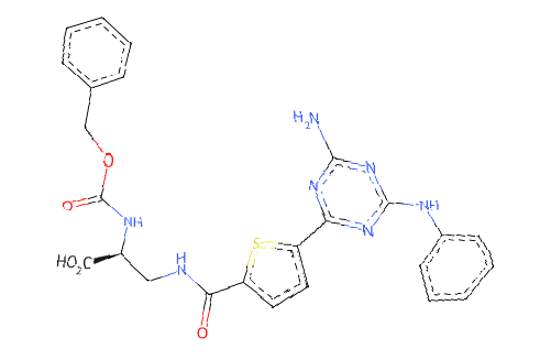 Nc1nc(Nc2ccccc2)nc(-c2ccc(C(=O)NC[C@H](NC(=O)OCc3ccccc3)C(=O)O)s2)n1